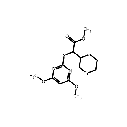 COC(=O)C(Sc1nc(OC)cc(OC)n1)C1CSCCS1